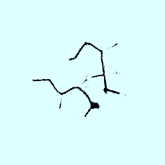 CC[C@@H](C)[C@](N)(N[C@@H](C(=O)O)[C@@H](C)CC)C(=O)O